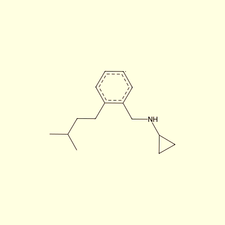 CC(C)CCc1cc[c]cc1CNC1CC1